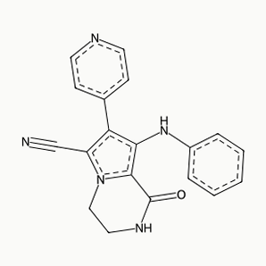 N#Cc1c(-c2ccncc2)c(Nc2ccccc2)c2n1CCNC2=O